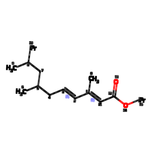 CC(/C=C/CC(C)CC(C)C(C)C)=C\C(=O)OC(C)C